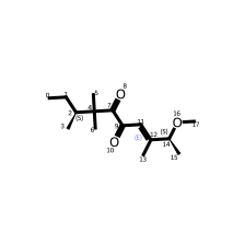 CC[C@H](C)C(C)(C)C(=O)C(=O)/C=C(\C)[C@H](C)OC